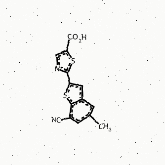 Cc1cc(C#N)c2sc(-c3ncc(C(=O)O)s3)cc2c1